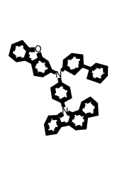 c1ccc(-c2cccc(N(c3ccc(-n4c5ccccc5c5ccc6ccccc6c54)cc3)c3ccc4c(c3)oc3ccccc34)c2)cc1